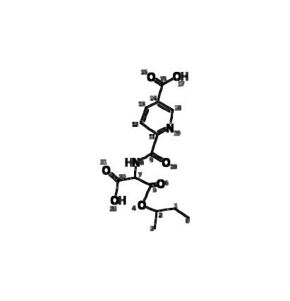 CCC(C)OC(=O)C(NC(=O)c1ccc(C(=O)O)cn1)C(=O)O